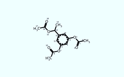 CC(=O)Oc1cc(OC(C)=O)cc(C(C)OC(C)=O)c1